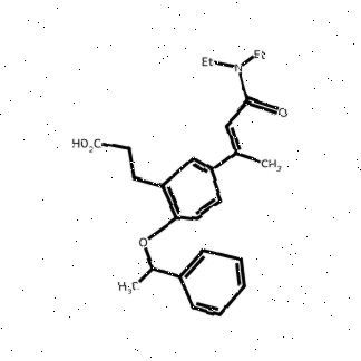 CCN(CC)C(=O)C=C(C)c1ccc(OC(C)c2ccccc2)c(CCC(=O)O)c1